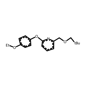 CCOc1ccc(Oc2cccc(COCC(C)(C)C)n2)cc1